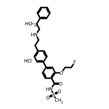 CS(=O)(=O)NC(=O)c1ccc(-c2ccc(CCNC[C@H](O)c3ccccc3)cc2)cc1OCCF.Cl